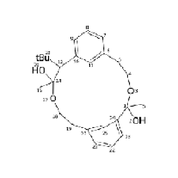 CC1(O)OCCc2cccc(c2)C(C(C)(C)C)C(C)(O)OCCc2cccc1c2